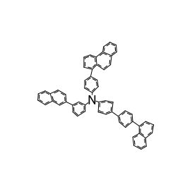 c1cc(-c2ccc3ccccc3c2)cc(N(c2ccc(-c3ccc(-c4cccc5ccccc45)cc3)cc2)c2ccc(-c3cccc4c3ccc3ccccc34)cc2)c1